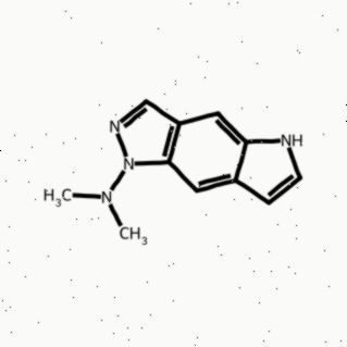 CN(C)n1ncc2cc3[nH]ccc3cc21